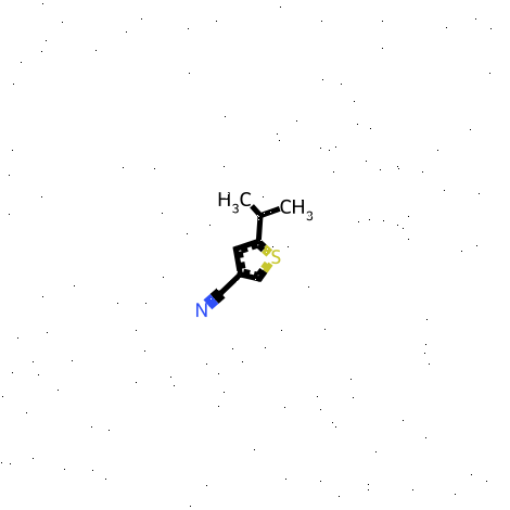 CC(C)c1cc(C#N)cs1